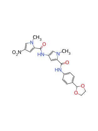 Cn1cc(NC(=O)c2cc([N+](=O)[O-])cn2C)cc1C(=O)Nc1ccc(C2OCCO2)cc1